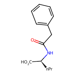 CCC[C@H](NC(=O)Cc1ccccc1)C(=O)O